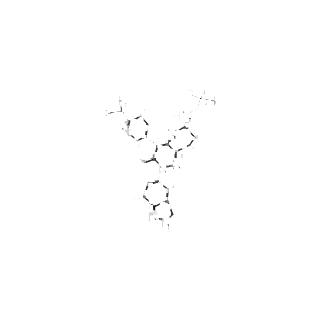 Cn1cc2cc(-n3nc4ccc(NCC(F)(F)F)nc4c(-c4ccc(C(F)F)nc4)c3=O)ccc2n1